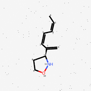 C=C(/C=C\C=C/C)[C@@H]1CCON1